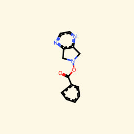 O=C(ON1Cc2nccnc2C1)c1ccccc1